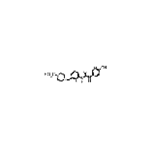 N#Cc1ccc(NC(=O)Nc2cccc(CN3CCN(C(=O)O)CC3)c2F)cn1